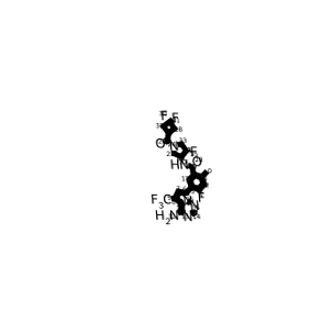 Cc1cc(F)c(-c2cc(C(F)(F)F)c3c(N)ncnn23)cc1C(=O)N[C@@H]1CN(C(=O)C2CC(F)(F)C2)C[C@@H]1F